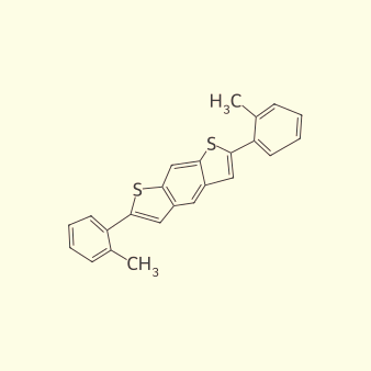 Cc1ccccc1-c1cc2cc3cc(-c4ccccc4C)sc3cc2s1